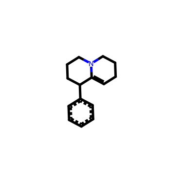 C1=C2C(c3ccccc3)CCCN2CCC1